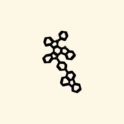 c1ccc(-n2c3ccccc3c3c4c5ccccc5n(-c5ccc(-c6ccc7c8c(cccc68)-c6ccccc6-7)cc5)c4c4c5ccccc5sc4c32)cc1